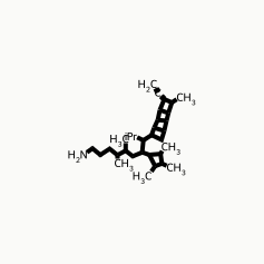 C=C=C1C(C)C2C1C1C3C(C(C(C)C)C(CC(C)C(C)CCCN)C4C(C)C(C)C4C)CC3C21